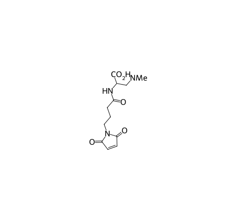 CNCC(NC(=O)CCCN1C(=O)C=CC1=O)C(=O)O